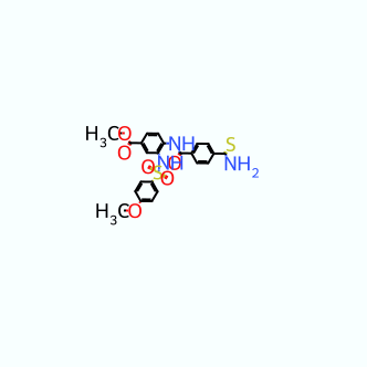 COC(=O)c1ccc(NC(=O)c2ccc(C(N)=S)cc2)c(NS(=O)(=O)c2ccc(OC)cc2)c1